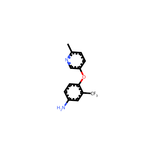 Cc1ccc(Oc2ccc(N)cc2C(F)(F)F)cn1